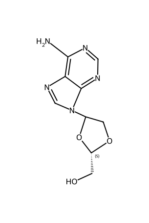 Nc1ncnc2c1ncn2C1CO[C@H](CO)O1